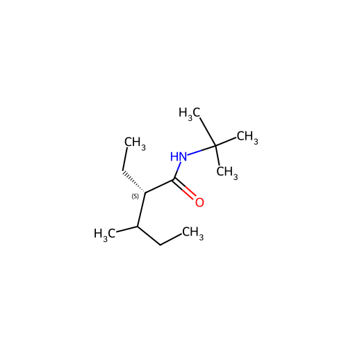 CCC(C)[C@H](CC)C(=O)NC(C)(C)C